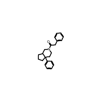 O=C(Cc1ccccc1)N1CCC2(c3ccccc3)CCCC2C1